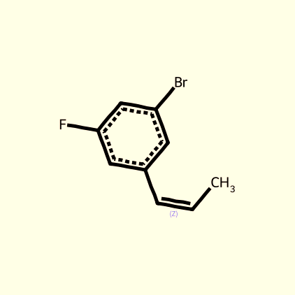 C/C=C\c1cc(F)cc(Br)c1